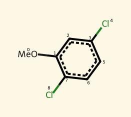 [CH2]Oc1cc(Cl)ccc1Cl